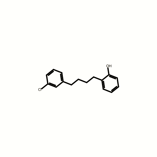 Oc1ccccc1CCCCc1cccc(Cl)c1